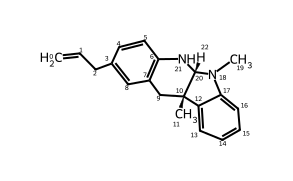 C=CCc1ccc2c(c1)C[C@@]1(C)c3ccccc3N(C)[C@H]1N2